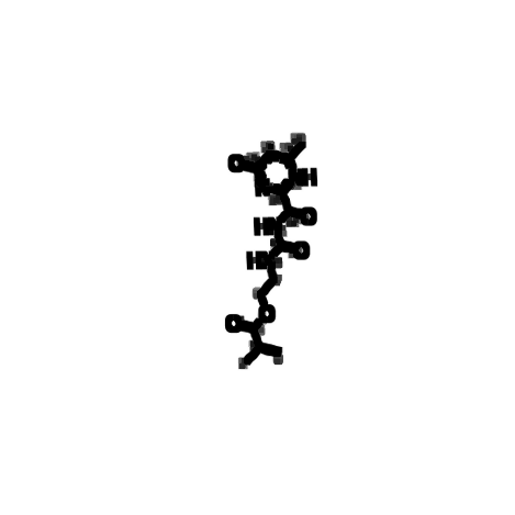 C=C(C)C(=O)OCCNC(=O)NC(=O)c1nc(=O)cc(C)[nH]1